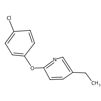 CCc1ccc(Oc2ccc(Cl)cc2)nc1